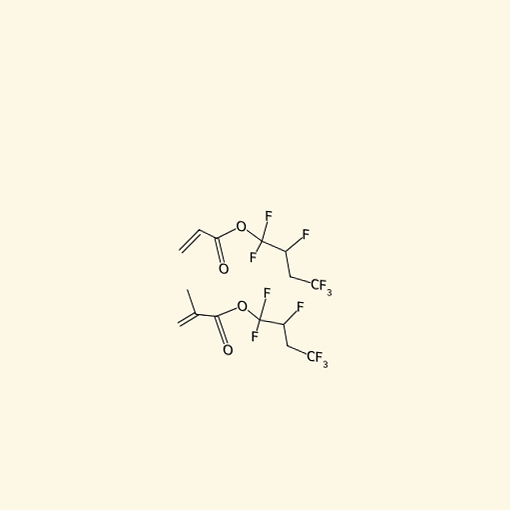 C=C(C)C(=O)OC(F)(F)C(F)CC(F)(F)F.C=CC(=O)OC(F)(F)C(F)CC(F)(F)F